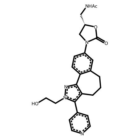 CC(=O)NC[C@H]1CN(c2ccc3c(c2)CCCc2c-3nn(CCO)c2-c2ccncc2)C(=O)O1